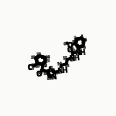 COc1ccccc1NC(=O)NCCCNc1ncc(C(=O)c2ccccc2Cl)s1